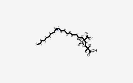 CCCCCCCC/C=C\CCCCCCCCC(CCC(C)(C)C(=O)O)(C(=O)[O-])[N+](C)(C)C